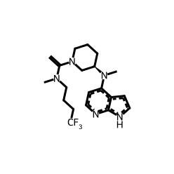 C=C(N(C)CCCC(F)(F)F)N1CCC[C@@H](N(C)c2ccnc3[nH]ccc23)C1